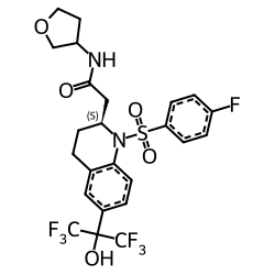 O=C(C[C@@H]1CCc2cc(C(O)(C(F)(F)F)C(F)(F)F)ccc2N1S(=O)(=O)c1ccc(F)cc1)NC1CCOC1